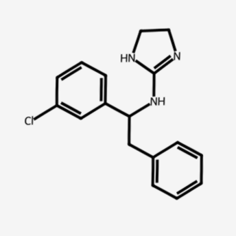 Clc1cccc(C(Cc2ccccc2)NC2=NCCN2)c1